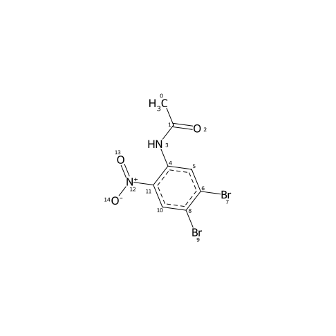 CC(=O)Nc1cc(Br)c(Br)cc1[N+](=O)[O-]